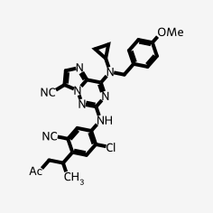 COc1ccc(CN(c2nc(Nc3cc(C#N)c(C(C)CC(C)=O)cc3Cl)nn3c(C#N)cnc23)C2CC2)cc1